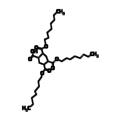 CCCCCCCCOC(=O)C1CC(C(=O)OCCCCCCCC)C(C(=O)OCCCCCCCC)CC1C(=O)O